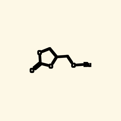 CCC(C)OCC1COC(=O)O1